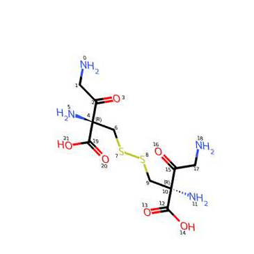 NCC(=O)[C@](N)(CSSC[C@](N)(C(=O)O)C(=O)CN)C(=O)O